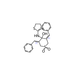 O=S1(=O)C/C(=C\c2ccccc2)C(O)(NC2=NCCS2)/C(=C\c2ccccc2)C1